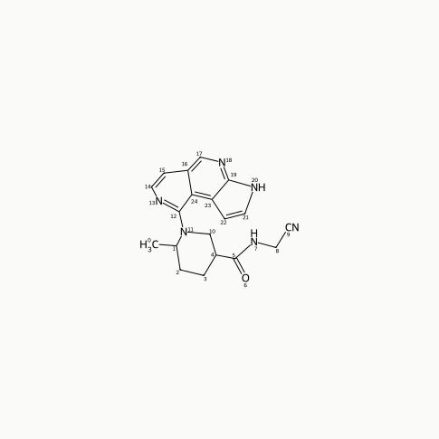 CC1CCC(C(=O)NCC#N)CN1c1nccc2cnc3[nH]ccc3c12